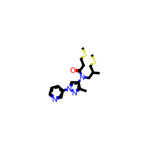 CSCCC(=O)N(CC(C)CSC)c1cn(-c2cccnc2)nc1C